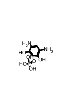 Nc1cc(N)c(O)cc1O.O=P(O)(O)O